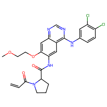 C=CC(=O)N1CCCC1C(=O)Nc1cc2c(Nc3ccc(Cl)c(Cl)c3)ncnc2cc1OCCOC